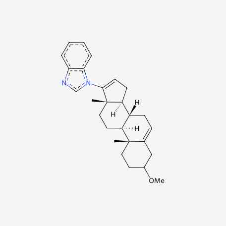 COC1CC[C@@]2(C)C(=CC[C@@H]3[C@@H]2CC[C@]2(C)C(n4cnc5ccccc54)=CC[C@@H]32)C1